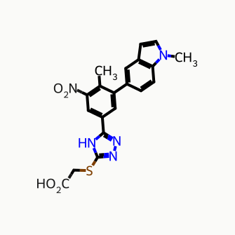 Cc1c(-c2ccc3c(ccn3C)c2)cc(-c2nnc(SCC(=O)O)[nH]2)cc1[N+](=O)[O-]